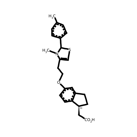 Cc1ccc(C2SC=C(CCOc3ccc4c(c3)CC[C@H]4CC(=O)O)N2C)cc1